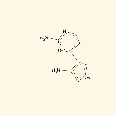 Nc1nc[c]c(-c2c[nH]nc2N)n1